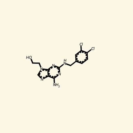 Nc1nc(NCc2ccc(Cl)c(Cl)c2)nc2c1ncn2CCO